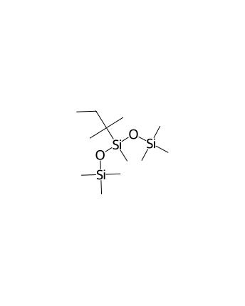 CCC(C)(C)[Si](C)(O[Si](C)(C)C)O[Si](C)(C)C